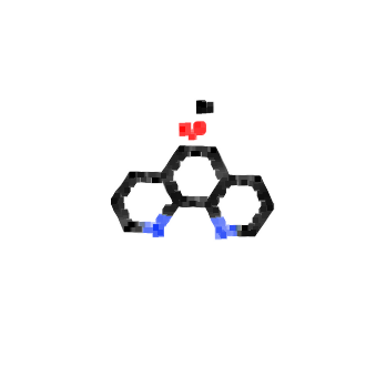 O.[Ru].c1cnc2c(c1)ccc1cccnc12